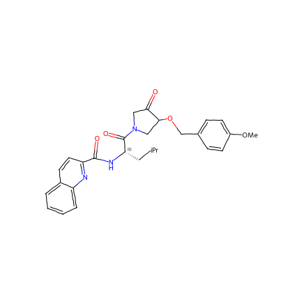 COc1ccc(COC2CN(C(=O)[C@H](CC(C)C)NC(=O)c3ccc4ccccc4n3)CC2=O)cc1